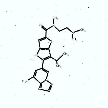 Cc1cc(-c2[nH]c3cc(C(=O)N(C)CCN(C)C)sc3c2C(C)C)cn2ncnc12